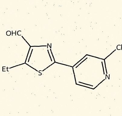 CCc1sc(-c2ccnc(Cl)c2)nc1C=O